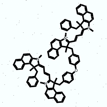 CN1/C(=C/C=C/C2=[N+](C)c3ccc4ccccc4c3C2(C)Cc2ccc(Oc3ccc(CC4(C)C(/C=C/C=C5/N(C)c6ccc7ccccc7c6C5(C)Cc5ccccc5)=[N+](C)c5ccc6ccccc6c54)cc3)cc2)C(C)(Cc2ccccc2)c2c1ccc1ccccc21